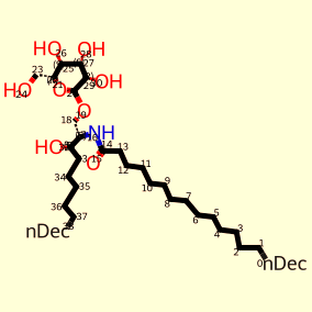 CCCCCCCCCCCCCCCCCCCCCCCC(=O)N[C@@H](COC1O[C@H](CO)[C@@H](O)[C@H](O)[C@H]1O)[C@H](O)CCCCCCCCCCCCCCC